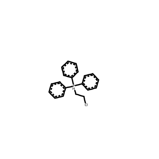 ClCC[PH](c1ccccc1)(c1ccccc1)c1ccccc1